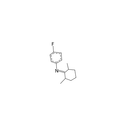 CC1CCCC(C)C1=Nc1ccc(F)cc1